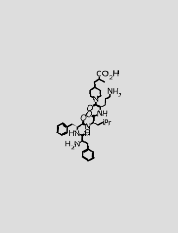 CC(C)C[C@@H](NC(=O)[C@@H](Cc1ccccc1)NC(=O)[C@H](N)Cc1ccccc1)C(=O)N[C@H](CCCN)C(=O)N1CCC(CC(C)C(=O)O)CC1